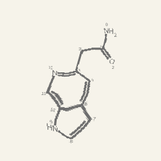 NC(=O)Cc1cc2cc[nH]c2cn1